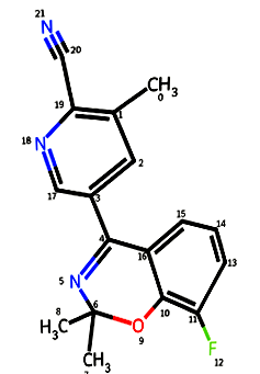 Cc1cc(C2=NC(C)(C)Oc3c(F)cccc32)cnc1C#N